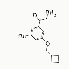 BCC(=O)c1cc(OCC2CCC2)cc(C(C)(C)C)c1